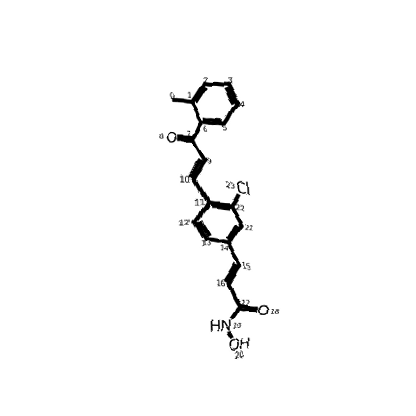 Cc1ccccc1C(=O)/C=C/c1ccc(/C=C/C(=O)NO)cc1Cl